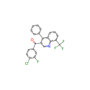 O=C(c1ccc(Cl)c(F)c1)c1cnc2c(C(F)(F)F)cccc2c1-c1ccccc1